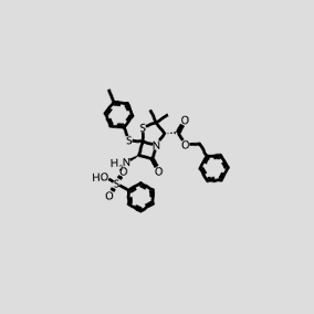 Cc1ccc(SC23SC(C)(C)[C@H](C(=O)OCc4ccccc4)N2C(=O)[C@H]3N)cc1.O=S(=O)(O)c1ccccc1